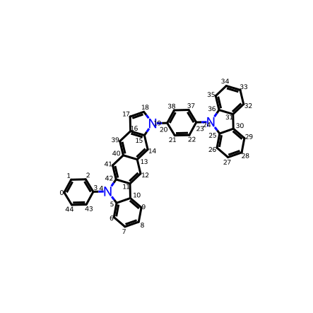 c1ccc(-n2c3ccccc3c3cc4cc5c(ccn5-c5ccc(-n6c7ccccc7c7ccccc76)cc5)cc4cc32)cc1